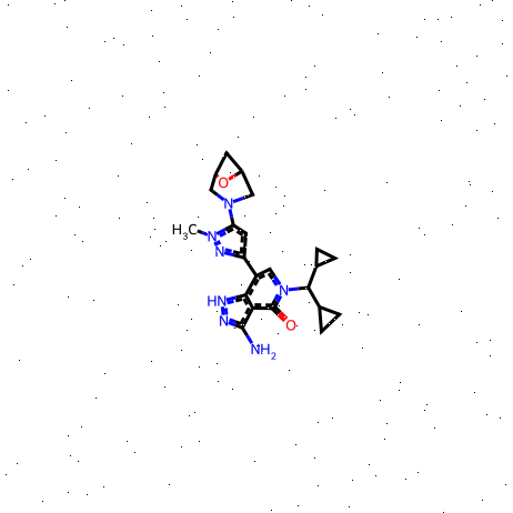 Cn1nc(-c2cn(C(C3CC3)C3CC3)c(=O)c3c(N)n[nH]c23)cc1N1CC2CC(C1)O2